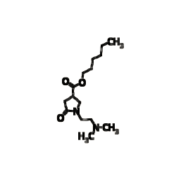 CCCCCCOC(=O)C1CC(=O)N(CCN(C)C)C1